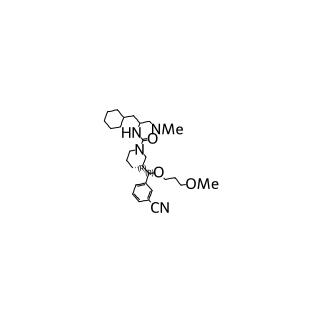 CNCC(CC1CCCCC1)NC(=O)N1CCC[C@@H]([C@@H](OCCCOC)c2cccc(C#N)c2)C1